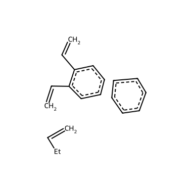 C=CCC.C=Cc1ccccc1C=C.c1ccccc1